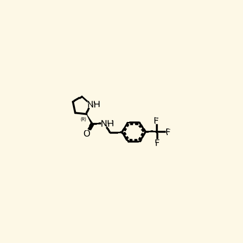 O=C(NCc1ccc(C(F)(F)F)cc1)[C@H]1CCCN1